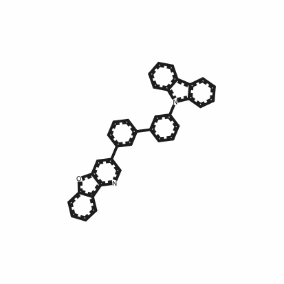 c1cc(-c2cccc(-n3c4ccccc4c4ccccc43)c2)cc(-c2cnc3c(c2)oc2ccccc23)c1